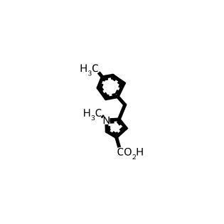 Cc1ccc(Cc2cc(C(=O)O)cn2C)cc1